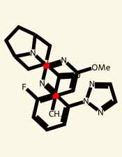 COc1cc(C)nc(N2C3CCC2CN(C(=O)c2c(F)cccc2-n2nccn2)C3)n1